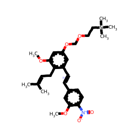 COc1cc(/C=C/c2cc(OCOCC[Si](C)(C)C)cc(OC)c2CC=C(C)C)ccc1[N+](=O)[O-]